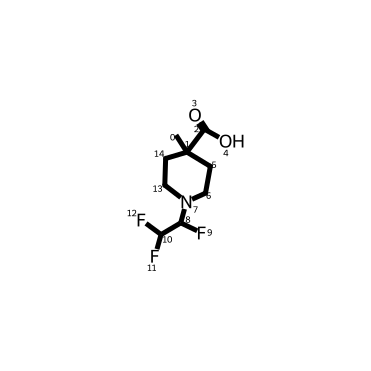 CC1(C(=O)O)CCN(C(F)C(F)F)CC1